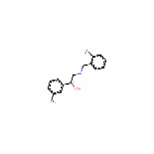 O=C(O)c1ccccc1CNC[C@@H](O)c1cccc(C(F)(F)F)c1